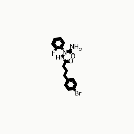 NC(=O)N(NC(=O)CCCc1ccc(Br)cc1)c1ccccc1F